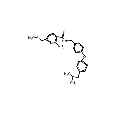 COCc1ccc(C(=O)NCc2ccc(Oc3ccc(CC(C)C)cc3)cc2)c(N)n1